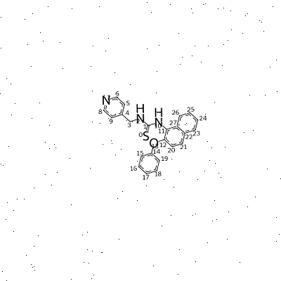 S=C(NCc1ccncc1)Nc1c(Oc2ccccc2)ccc2ccccc12